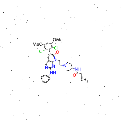 C=CC(=O)NC1CCN(CCn2c(=O)c(-c3c(Cl)c(OC)cc(OC)c3Cl)cc3cnc(Nc4ccccc4)nc32)CC1